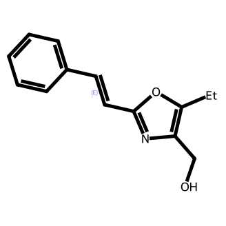 CCc1oc(/C=C/c2ccccc2)nc1CO